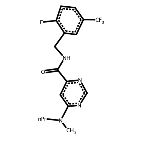 CCCN(C)c1cc(C(=O)NCc2cc(C(F)(F)F)ccc2F)ncn1